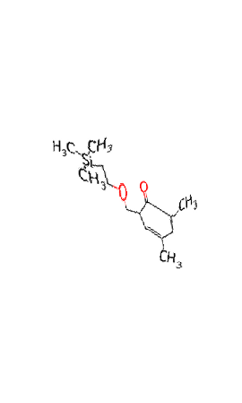 CC1=CC(COCC[Si](C)(C)C)C(=O)C(C)C1